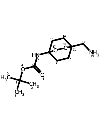 CC(C)(C)OC(=O)NC12CCC(CN)(CC1)CC2